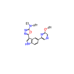 CCCN(CC)c1nnc(-c2c[nH]c3ccc(-c4cncc(OC(C)C)n4)cc23)o1